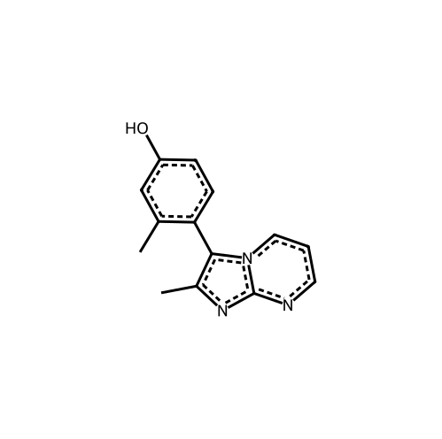 Cc1cc(O)ccc1-c1c(C)nc2ncccn12